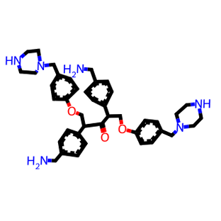 NCc1ccc(C(COc2ccc(CN3CCNCC3)cc2)C(=O)C(COc2ccc(CN3CCNCC3)cc2)c2ccc(CN)cc2)cc1